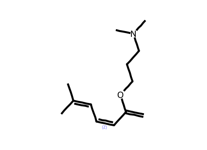 C=C(/C=C\C=C(C)C)OCCCN(C)C